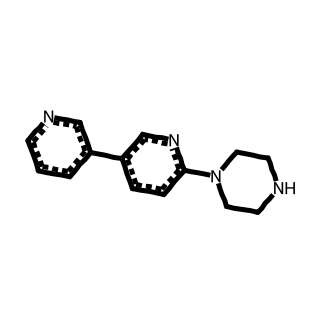 c1cncc(-c2ccc(N3CCNCC3)nc2)c1